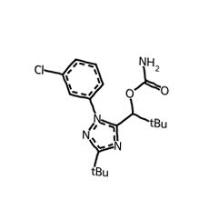 CC(C)(C)c1nc(C(OC(N)=O)C(C)(C)C)n(-c2cccc(Cl)c2)n1